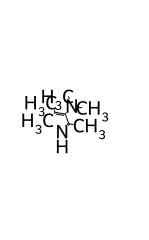 CC(=N)C(=C(C)C)N(C)C